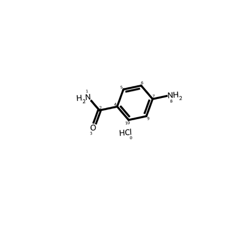 Cl.NC(=O)c1ccc(N)cc1